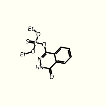 CCOP(=S)(OCC)Oc1n[nH]c(=O)c2ccccc12